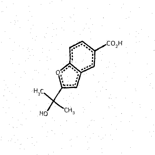 CC(C)(O)c1cc2cc(C(=O)O)ccc2o1